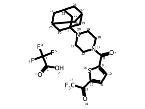 O=C(O)C(F)(F)F.O=C(c1ccc(C(=O)C(F)(F)F)s1)N1CCN(C23CC4CC(CC(C4)C2)C3)CC1